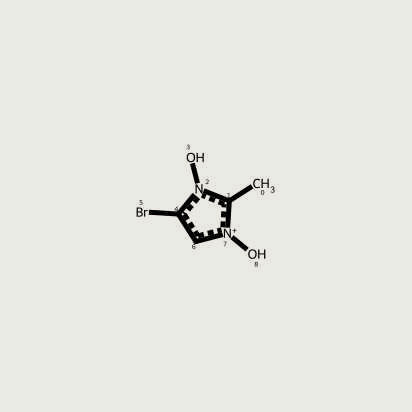 Cc1n(O)c(Br)c[n+]1O